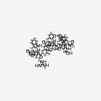 CNC(=N)NCCC[C@H](NC(=O)[C@@H](/C=C/CNC(=O)[C@H](Cc1ccccc1)NC(=O)[C@@H](NC(=O)[C@H](CC(N)=O)NC(=O)[C@@H]1C[C@@H](O)CN1C(=O)[C@@H](Cc1ccc(O)cc1)NC(C)=O)[C@@H](C)O)CC(C)C)C(=O)N[C@@H](Cc1c[nH]c2ccccc12)C(N)=O